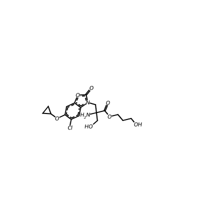 NC(CO)(Cn1c(=O)oc2cc(OC3CC3)c(Cl)cc21)C(=O)OCCCO